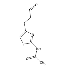 CC(=O)Nc1nc(CCC=O)cs1